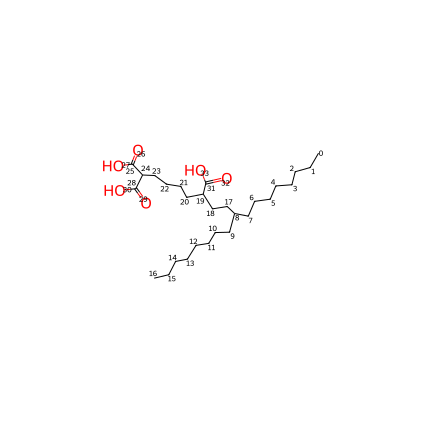 CCCCCCCCC(CCCCCCCC)CCC(CCCCC(C(=O)O)C(=O)O)C(=O)O